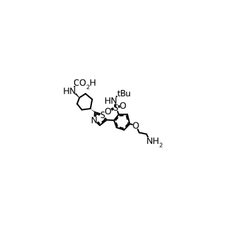 CC(C)(C)NS(=O)(=O)c1cc(OCCN)ccc1-c1cnc([C@H]2CC[C@H](NC(=O)O)CC2)s1